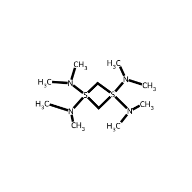 CN(C)S1(N(C)C)CS(N(C)C)(N(C)C)C1